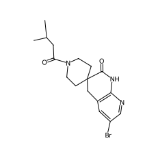 CC(C)CC(=O)N1CCC2(CC1)Cc1cc(Br)cnc1NC2=O